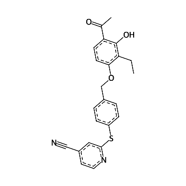 CCc1c(OCc2ccc(Sc3cc(C#N)ccn3)cc2)ccc(C(C)=O)c1O